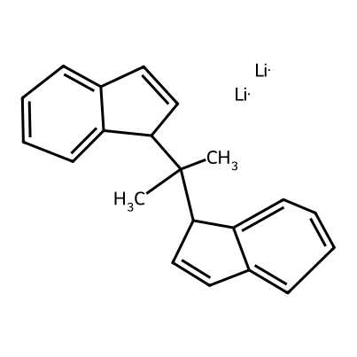 CC(C)(C1C=Cc2ccccc21)C1C=Cc2ccccc21.[Li].[Li]